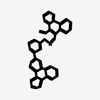 C=Cc1c(/C=N\Cc2cccc(-c3ccc4c5ccccc5c5ccccc5c4c3)c2)c2ccccc2c2ccccc12